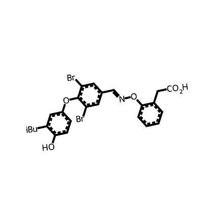 CCC(C)c1cc(Oc2c(Br)cc(C=NOc3ccccc3CC(=O)O)cc2Br)ccc1O